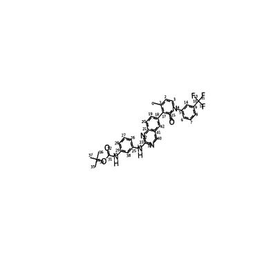 Cc1ccn(-c2cccc(C(F)(F)F)c2)c(=O)c1-c1ccc2nc(Nc3cccc(NC(=O)OC(C)(C)C)c3)ncc2c1